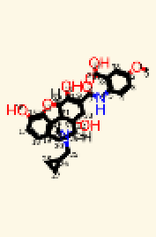 COc1ccc(NC(=O)C2=C(O)[C@@H]3Oc4c(O)ccc5c4[C@@]34CCN(CC3CC3)[C@H](C5)[C@]4(O)C2)c(C(=O)O)c1